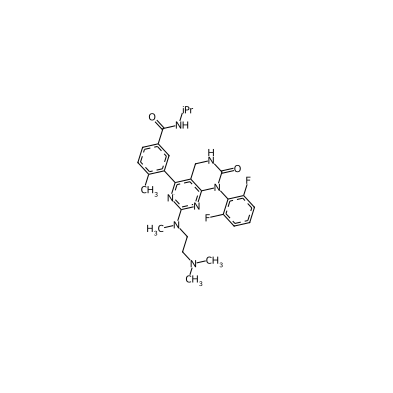 Cc1ccc(C(=O)NC(C)C)cc1-c1nc(N(C)CCN(C)C)nc2c1CNC(=O)N2c1c(F)cccc1F